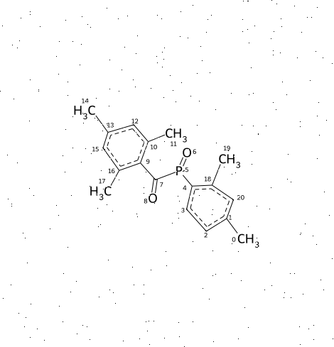 Cc1ccc([P](=O)C(=O)c2c(C)cc(C)cc2C)c(C)c1